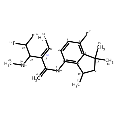 C=C(Nc1ccc(F)c2c1C(C)CC2(C)C)/C(=C/N)C(NC)C(F)F